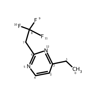 CCc1[c]cnc(CC(F)(F)F)n1